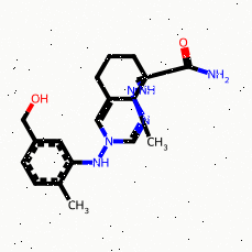 Cc1ccc(CO)cc1NN1C=NC23C(=C1)CCCC2=C(C(N)=O)NN3C